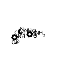 NS(=O)(=O)c1cccc(Nc2nccc(Nc3c(Cl)ccc4c3OCO4)n2)c1